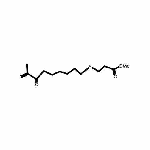 C=C(C)C(=O)CCCCCCSCCC(=O)OC